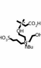 CCCC[N+](CCO)(CCO)CCCS(=O)(=O)O.C[N+](C)(C)CC(=O)O